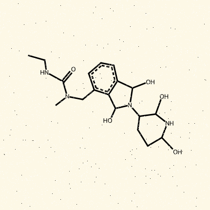 CCNC(=O)N(C)Cc1cccc2c1C(O)N(C1CCC(O)NC1O)C2O